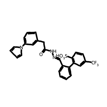 O=C(Cc1cccc(-n2cccc2)c1)N/N=C/c1ccccc1-c1cc(C(F)(F)F)ccc1S(=O)(=O)O